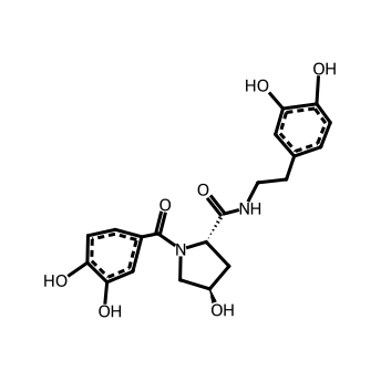 O=C(NCCc1ccc(O)c(O)c1)[C@@H]1C[C@@H](O)CN1C(=O)c1ccc(O)c(O)c1